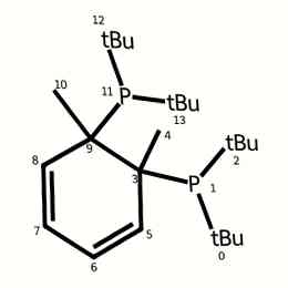 CC(C)(C)P(C(C)(C)C)C1(C)C=CC=CC1(C)P(C(C)(C)C)C(C)(C)C